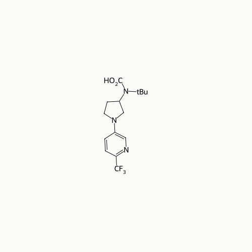 CC(C)(C)N(C(=O)O)C1CCN(c2ccc(C(F)(F)F)nc2)C1